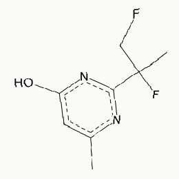 Cc1cc(O)nc(C(C)(F)CF)n1